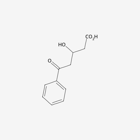 O=C(O)CC(O)CC(=O)c1ccccc1